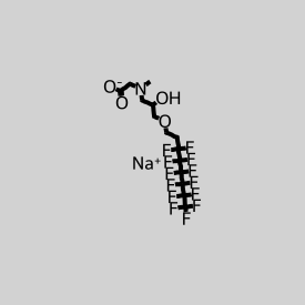 CN(CC(=O)[O-])CC(O)COCCC(F)(F)C(F)(F)C(F)(F)C(F)(F)C(F)(F)C(F)(F)F.[Na+]